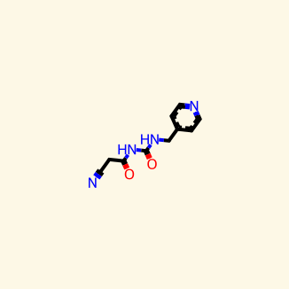 N#CCC(=O)NC(=O)NCc1ccncc1